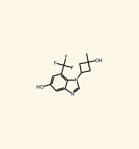 CC1(O)CC(n2cnc3cc(O)cc(C(F)(F)F)c32)C1